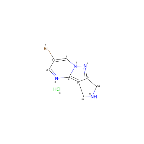 Brc1cnc2c3c(nn2c1)CNC3.Cl